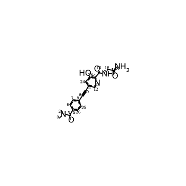 CN(C)C(=O)c1ccc(C#Cc2cnc(C(=O)NCC(N)=O)c(O)c2)cc1